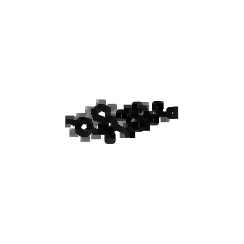 N#Cc1c(O[C@H]2CO[C@H]3[C@@H]2OC[C@@H]3OC(=O)CCl)c2ccccc2n(Cc2ccc(F)cc2)c1=O